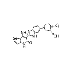 C#CC1CN(c2ccc3nc(-c4c(N)c5[se]ccc5[nH]c4=O)[nH]c3c2)CCN1C1CC1